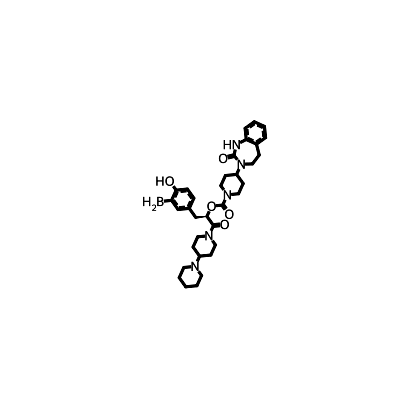 Bc1cc(C[C@@H](OC(=O)N2CCC(N3CCc4ccccc4NC3=O)CC2)C(=O)N2CCC(N3CCCCC3)CC2)ccc1O